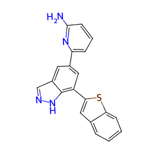 Nc1cccc(-c2cc(-c3cc4ccccc4s3)c3[nH]ncc3c2)n1